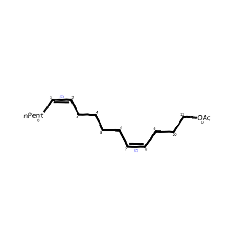 CCCCC/C=C\CCCC/C=C\CCCOC(C)=O